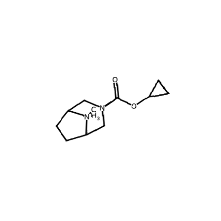 CN1C2CCC1CN(C(=O)OC1CC1)C2